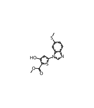 COC(=O)c1sc(-n2cnc3ccc(SC)cc32)cc1O